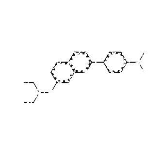 CN(C)c1ccc(-c2ccc3ccc(OC(CO)CO)cc3n2)cc1